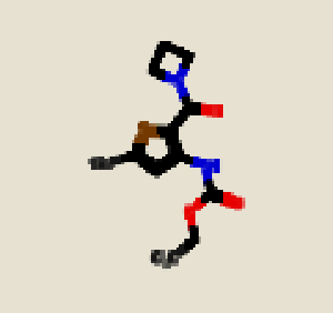 CC(C)(C)c1cc(NC(=O)OCC(Cl)(Cl)Cl)c(C(=O)N2CCC2)s1